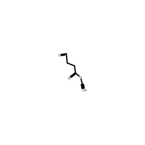 C#COC(=O)CCC=O